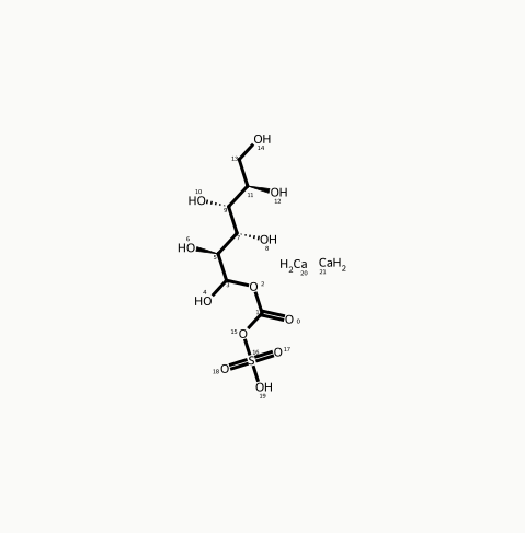 O=C(OC(O)[C@@H](O)[C@@H](O)[C@H](O)[C@H](O)CO)OS(=O)(=O)O.[CaH2].[CaH2]